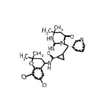 CC1(C)CC(=O)N([C@H](c2cccnc2)C2C[C@H]2C(=O)NC2CC(C)(C)Oc3c(Cl)cc(Cl)cc32)C(=N)N1